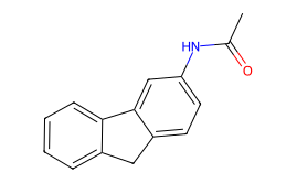 CC(=O)Nc1ccc2c(c1)-c1ccccc1C2